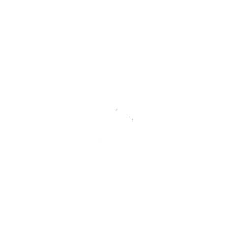 CC(C)C(Cc1cccc(Oc2ccccc2)c1)(Nc1ccc(C(F)(F)F)cc1Cl)C(=O)O